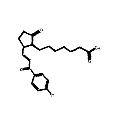 O=C(O)CCCCCCC1C(=O)CCC1C=CC(=O)c1ccc(Cl)cc1